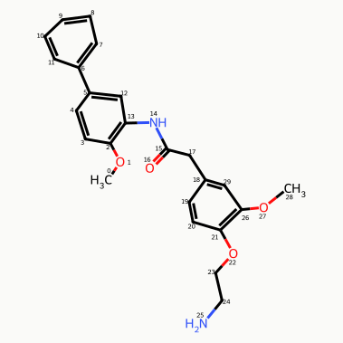 COc1ccc(-c2ccccc2)cc1NC(=O)Cc1ccc(OCCN)c(OC)c1